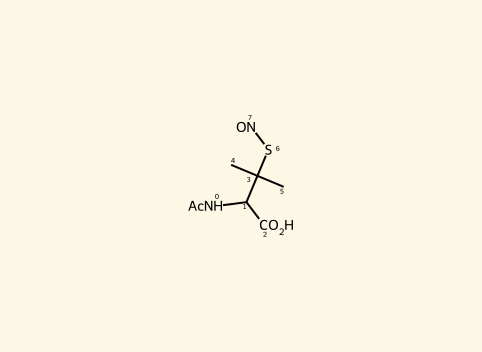 CC(=O)NC(C(=O)O)C(C)(C)S[15N]=O